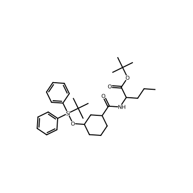 CCCC(NC(=O)C1CCCC(O[Si](c2ccccc2)(c2ccccc2)C(C)(C)C)C1)C(=O)OC(C)(C)C